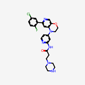 O=C(CCN1CCNCC1)Nc1cc(N2CCOc3cnc(-c4cc(Cl)ccc4F)cc32)ccn1